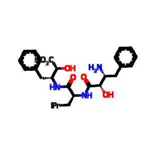 CC(C)C[C@H](NC(=O)[C@@H](O)[C@H](N)Cc1ccccc1)C(=O)N[C@H](Cc1ccccc1)[C@H](O)C(=O)O